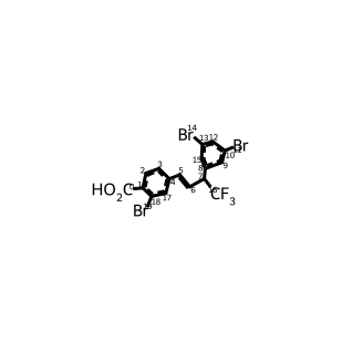 O=C(O)c1ccc(C=CC(c2cc(Br)cc(Br)c2)C(F)(F)F)cc1Br